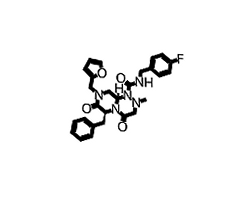 CN1CC(=O)N2[C@@H](Cc3ccccc3)C(=O)N(Cc3ccco3)C[C@@H]2N1C(=O)NCc1ccc(F)cc1